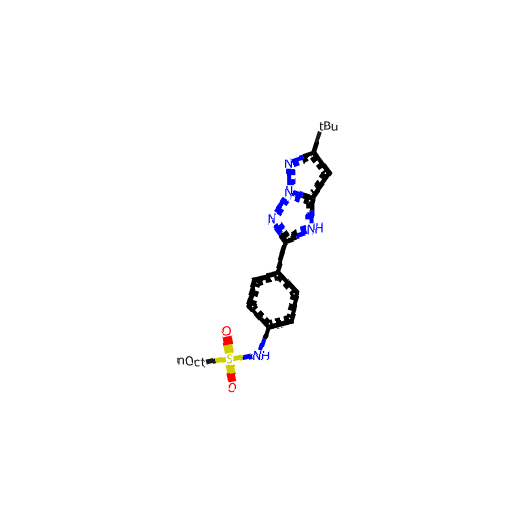 CCCCCCCCS(=O)(=O)Nc1ccc(-c2nn3nc(C(C)(C)C)cc3[nH]2)cc1